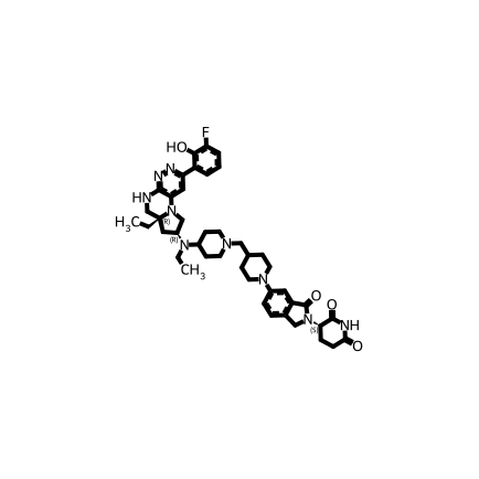 CCN(C1CCN(CC2CCN(c3ccc4c(c3)C(=O)N([C@H]3CCC(=O)NC3=O)C4)CC2)CC1)[C@H]1CN2c3cc(-c4cccc(F)c4O)nnc3NC[C@@]2(CC)C1